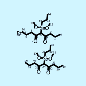 CCCC(=O)C(C(=O)CCC)[Si](CCC)(OC)OC.CCCC(=O)C(C(=O)CCC)[Si](CCC)(OC)OC.[Pt+2]